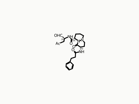 CC(=O)C[C@@H](C=O)NC(=O)[C@@H]1CCCN2CC[C@H](NC(=O)CCc3ccccc3)C(=O)N12